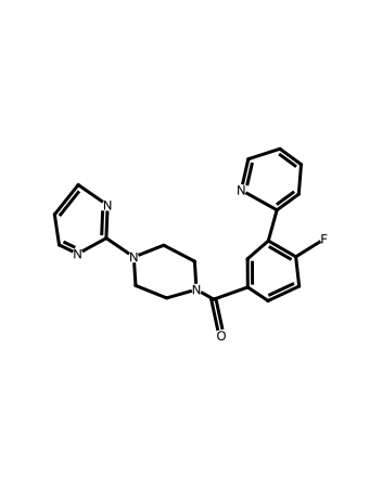 O=C(c1ccc(F)c(-c2ccccn2)c1)N1CCN(c2ncccn2)CC1